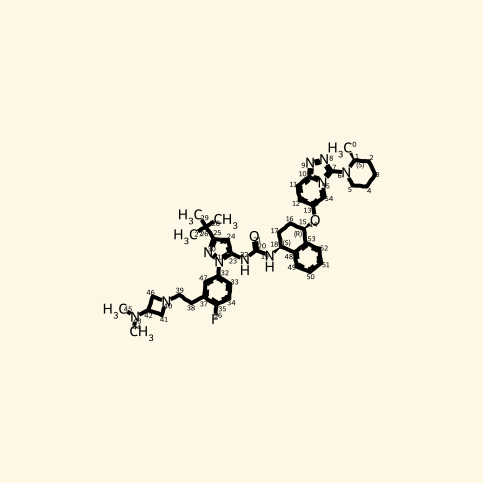 C[C@H]1CCCCN1c1nnc2ccc(O[C@@H]3CC[C@H](NC(=O)Nc4cc(C(C)(C)C)nn4-c4ccc(F)c(CCN5CC(N(C)C)C5)c4)c4ccccc43)cn12